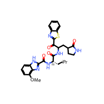 COc1cccc2[nH]c(C(=O)N[C@@H](CC(C)C)C(=O)NC(CC3CCNC3=O)C(=O)c3nc4ccccc4s3)nc12